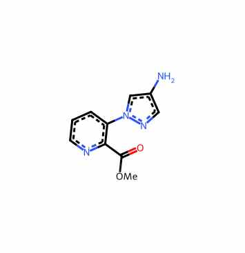 COC(=O)c1ncccc1-n1cc(N)cn1